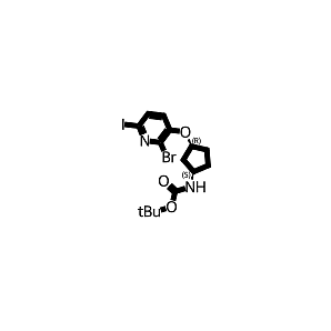 CC(C)(C)OC(=O)N[C@H]1CC[C@@H](Oc2ccc(I)nc2Br)C1